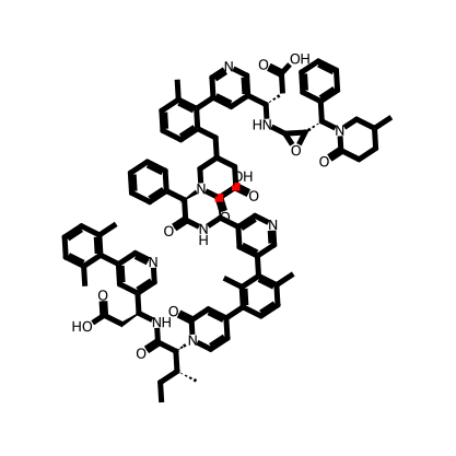 CC[C@@H](C)[C@H](C(=O)N[C@@H](CC(=O)O)c1cncc(-c2c(C)cccc2C)c1)n1ccc(-c2ccc(C)c(-c3cncc([C@H](CC(=O)O)NC(=O)[C@@H](c4ccccc4)N4CC(Cc5cccc(C)c5-c5cncc([C@H](CC(=O)O)NC6OC6[C@H](c6ccccc6)N6CC(C)CCC6=O)c5)CCC4=O)c3)c2C)cc1=O